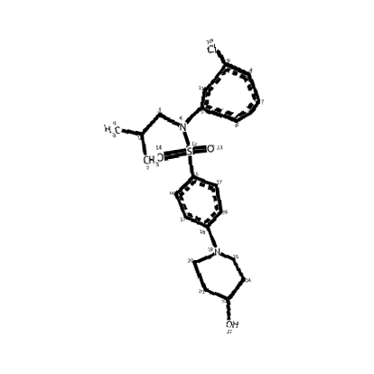 CC(C)CN(c1cccc(Cl)c1)S(=O)(=O)c1ccc(N2CCC(O)CC2)cc1